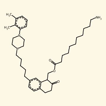 Cc1cccc(N2CCN(CCCCCc3ccc4c(c3)C(COC(=O)CCCCCCCCCCN)C(=O)CC4)CC2)c1C